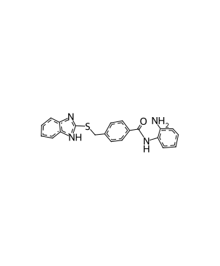 Nc1ccccc1NC(=O)c1ccc(CSc2nc3ccccc3[nH]2)cc1